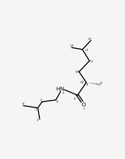 CC(C)CCNC(=O)[C@@H](C)CCC(C)C